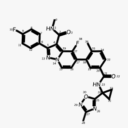 CNC(=O)c1c(-c2ccc(F)cc2)nn2ccc(-c3cc(C(=O)NC4(c5nc(C)no5)CC4)ccc3C)c(F)c12